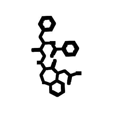 O=C(O)CN1C(=O)C(NCC(=O)C(Cc2ccccc2)NC(=O)c2ccccc2)CSC2C=CC=CC21